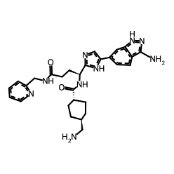 NC[C@H]1CC[C@H](C(=O)N[C@@H](CCC(=O)NCc2ccccn2)c2ncc(-c3ccc4c(N)n[nH]c4c3)[nH]2)CC1